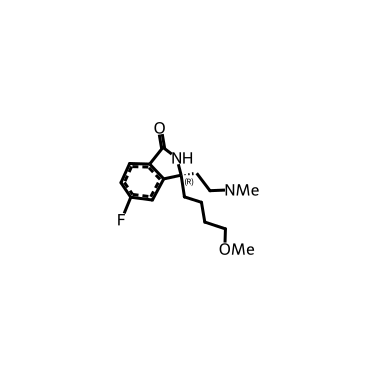 CNCC[C@@]1(CCCCOC)NC(=O)c2ccc(F)cc21